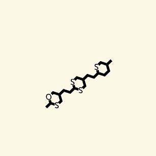 CC1CCC(CCC2CSC(CCC3COC(C)SC3)SC2)SC1